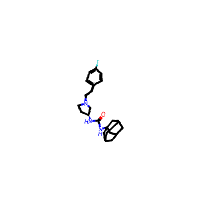 O=C(N[C@H]1CCN(CCc2ccc(F)cc2)C1)NC12CC3CC(CC(C3)C1)C2